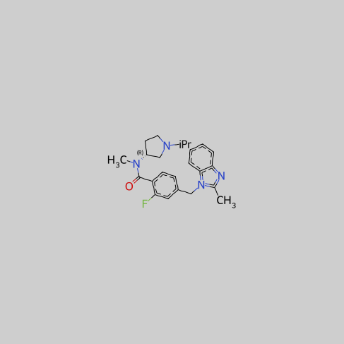 Cc1nc2ccccc2n1Cc1ccc(C(=O)N(C)[C@@H]2CCN(C(C)C)C2)c(F)c1